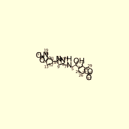 Cc1c(C(O)CNCc2cc(-c3ccc4oc(=O)n(C)c4c3)nn2C)ccc2c1COC2=O